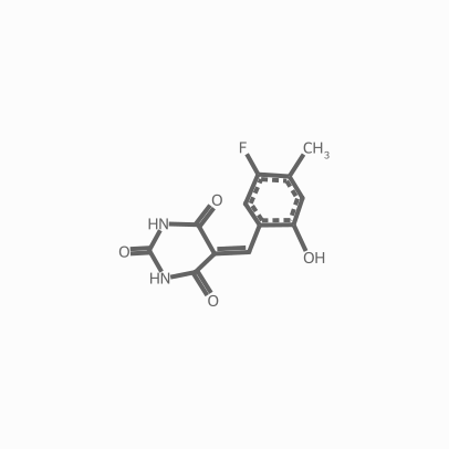 Cc1cc(O)c(C=C2C(=O)NC(=O)NC2=O)cc1F